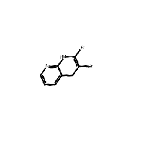 CCC1=C(CC)Nc2ncccc2C1